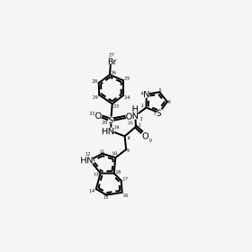 O=C(Nc1nccs1)C(Cc1c[nH]c2ccccc12)NS(=O)(=O)c1ccc(Br)cc1